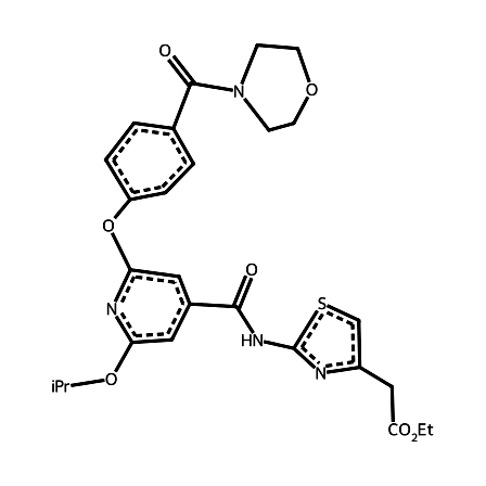 CCOC(=O)Cc1csc(NC(=O)c2cc(Oc3ccc(C(=O)N4CCOCC4)cc3)nc(OC(C)C)c2)n1